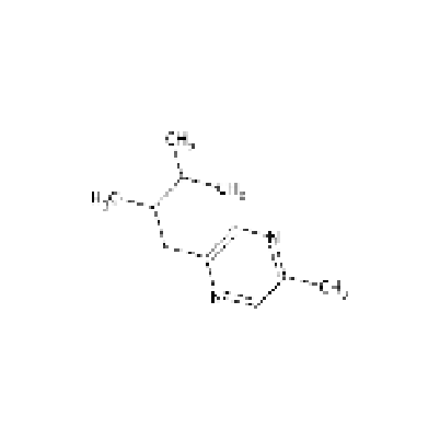 Cc1cnc(CC(C)C(C)C)cn1